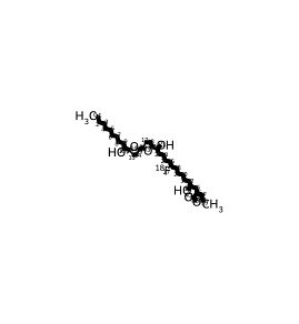 CCCCCCCCCC[C@@H](O)[C@H]1CC[C@H]([C@H]2CC[C@H](C(O)CCCCC([18F])CCCCCC(O)CC3=C[C@H](C)OC3=O)O2)O1